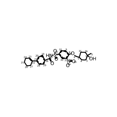 CC1(O)CCC(COc2ccc(S(=O)(=O)NC(=O)c3ccc(C4=CCCCC4)cc3)cc2[N+](=O)[O-])CC1